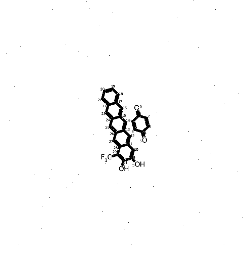 O=C1C=CC(=O)C=C1.Oc1cc2cc3cc4cc5ccccc5cc4cc3cc2c(C(F)(F)F)c1O